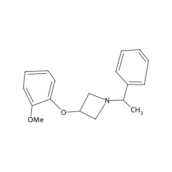 COc1ccccc1OC1CN(C(C)c2ccccc2)C1